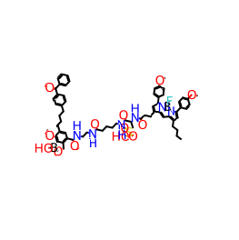 CCCCc1cc(-c2ccc(OC)cc2)n2c1C=C1C(CCC(=O)NC(CS(=O)(=O)O)C(=O)NCCCCC(=O)NCCNC(=O)c3cc(CCCCc4ccc(C(=O)c5ccccc5)cc4)c(OC)c4c3COB4O)=CC(c3ccc(OC)cc3)=[N+]1B2F